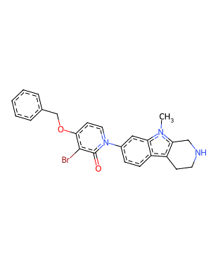 Cn1c2c(c3ccc(-n4ccc(OCc5ccccc5)c(Br)c4=O)cc31)CCNC2